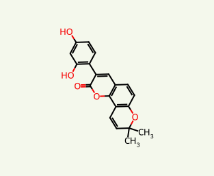 CC1(C)C=Cc2c(ccc3cc(-c4ccc(O)cc4O)c(=O)oc23)O1